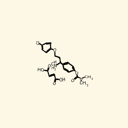 CNC(CCOc1ccc(Cl)cc1)c1ccc(OC(=O)N(C)C)cc1.O=C(O)C=CC(=O)O